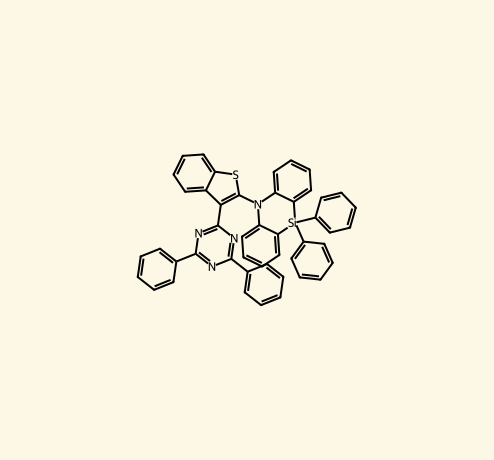 c1ccc(-c2nc(-c3ccccc3)nc(-c3c(N4c5ccccc5[Si](c5ccccc5)(c5ccccc5)c5ccccc54)sc4ccccc34)n2)cc1